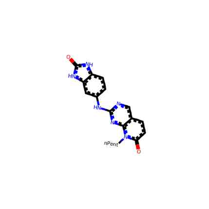 CCCCCn1c(=O)ccc2cnc(Nc3ccc4[nH]c(=O)[nH]c4c3)nc21